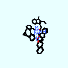 CCC1=C(CC(C)/N=C(\N=C(/NC)c2ccccc2)c2cccc3c2-c2cc(-n4c5cc6ccccc6cc5c5cc6ccccc6cc54)ccc2C2CC32)c2ccccc2C1C